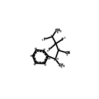 CC(F)C(F)(F)C(C#N)N(C)c1ccccc1